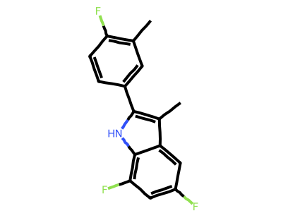 Cc1cc(-c2[nH]c3c(F)cc(F)cc3c2C)ccc1F